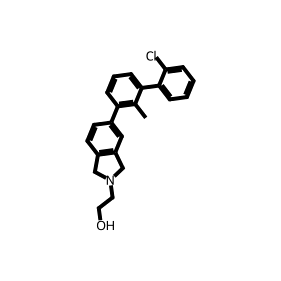 Cc1c(-c2ccc3c(c2)CN(CCO)C3)cccc1-c1ccccc1Cl